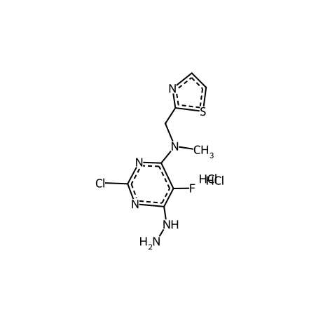 CN(Cc1nccs1)c1nc(Cl)nc(NN)c1F.Cl.Cl